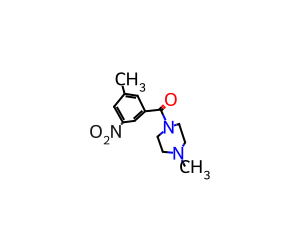 Cc1cc(C(=O)N2CCN(C)CC2)cc([N+](=O)[O-])c1